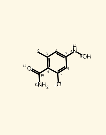 [CH2]c1cc(NO)cc(Cl)c1C(N)=O